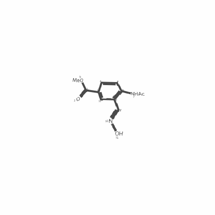 COC(=O)c1ccc(NC(C)=O)c(C=NO)c1